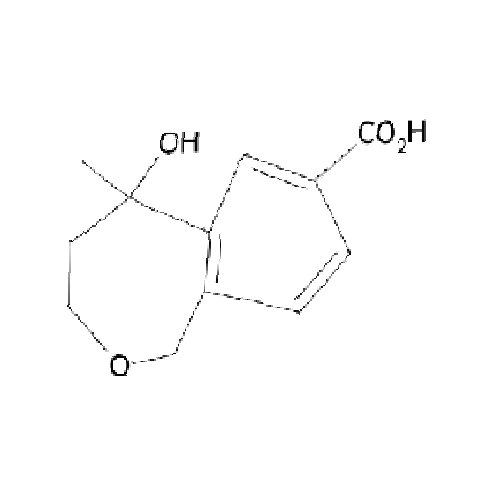 CC1(O)CCOCc2ccc(C(=O)O)cc21